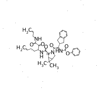 C=CCCC(NC(=O)[C@@H]1C2C(CN1C(=O)[C@@H](NC(=O)Oc1ccccc1)C1Cc3ccccc3C1)C2(C)C)C(=O)C(=O)NCC=C